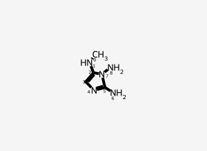 CNc1cnc(N)n1N